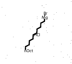 CCCCCCCCCCCCCCCCC[CH2][Mg][Br].Cl